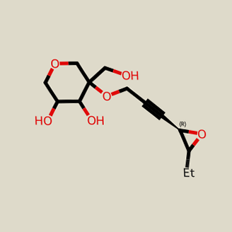 CCC1O[C@@H]1C#CCOC1(CO)COCC(O)C1O